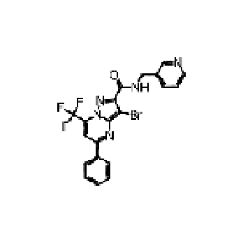 O=C(NCc1cccnc1)c1nn2c(C(F)(F)F)cc(-c3ccccc3)nc2c1Br